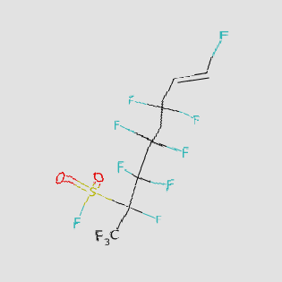 O=S(=O)(F)C(F)(C(F)(F)F)C(F)(F)C(F)(F)C(F)(F)C=CF